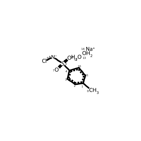 Cc1ccc(S(=O)(=O)[N-]Cl)cc1.O.O.[Na+]